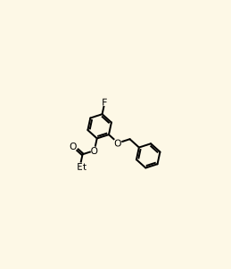 CCC(=O)Oc1ccc(F)cc1OCc1ccccc1